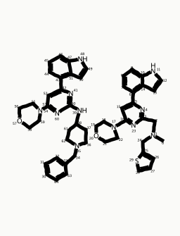 CN(Cc1nc(-c2cccc3[nH]ccc23)cc(N2CCOCC2)n1)Cc1cccs1.c1ccc(CN2CCC(Nc3nc(-c4cccc5[nH]ccc45)cc(N4CCOCC4)n3)CC2)cc1